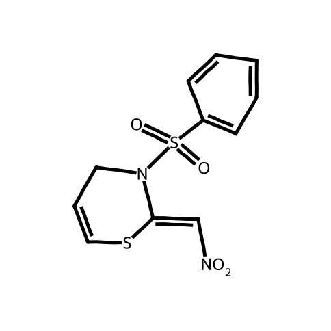 O=[N+]([O-])C=C1SC=CCN1S(=O)(=O)c1ccccc1